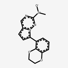 C[S+]([O-])c1ncc2ccc(-c3cccc4c3OCCO4)n2n1